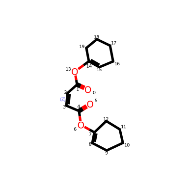 O=C(/C=C\C(=O)OC1=CCCCC1)OC1=CCCCC1